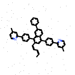 C/C=C\C=C/c1cc(-c2ccc(-c3cc(C)ccn3)cc2)c2ccc(-c3ccccc3)cc2c1-c1ccc(-c2cc(C)ccn2)cc1